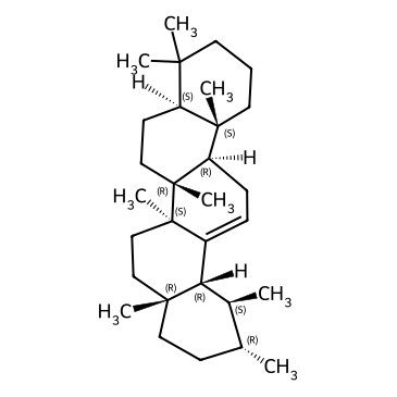 C[C@H]1[C@H](C)CC[C@]2(C)CC[C@]3(C)C(=CC[C@@H]4[C@@]5(C)CCCC(C)(C)[C@@H]5CC[C@]43C)[C@H]12